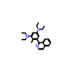 CCN(CC)c1cc(-c2nccc3ccccc23)c(C)c(N(CC)CC)c1